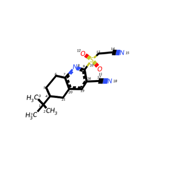 CC(C)(C)C1CCc2nc(S(=O)(=O)CC#N)c(C#N)cc2C1